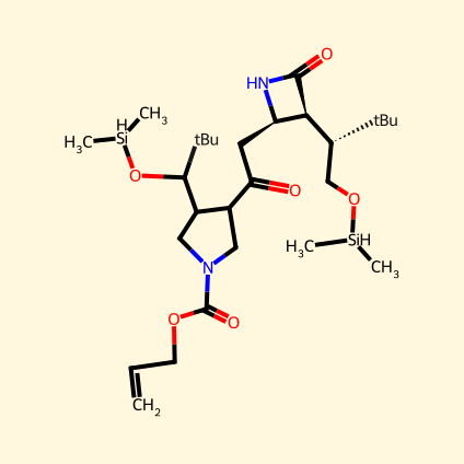 C=CCOC(=O)N1CC(C(=O)C[C@H]2NC(=O)[C@H]2[C@@H](CO[SiH](C)C)C(C)(C)C)C(C(O[SiH](C)C)C(C)(C)C)C1